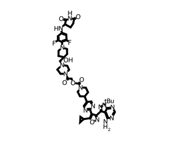 CC(C)(C)n1nc(-c2noc(C3CC3)c2-c2ncc(C3CCN(C(=O)OCC(=O)N4CCN(CC5(O)CCN(c6c(F)cc(NC7CCC(=O)NC7=O)cc6F)CC5)CC4)CC3)cn2)c2c(N)ncnc21